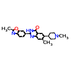 Cc1nc2ccc(-c3nc4cc(C)c(C5CCN(C)CC5)cc4c(=O)[nH]3)cc2o1